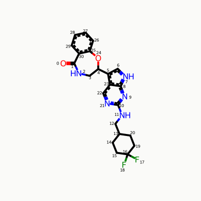 O=C1NCC(c2c[nH]c3nc(NCC4CCC(F)(F)CC4)ncc23)Oc2ccccc21